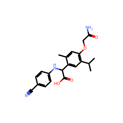 Cc1cc(OCC(N)=O)c(C(C)C)cc1C(Nc1ccc(C#N)cc1)C(=O)O